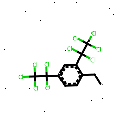 [CH2]Cc1ccc(C(Cl)(Cl)C(Cl)(Cl)Cl)cc1C(Cl)(Cl)C(Cl)(Cl)Cl